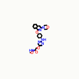 CONC(=O)COc1cnc(N[C@H]2CC[C@@H](Oc3nc(N4CCOCC4)cc4ccccc34)CC2)nc1